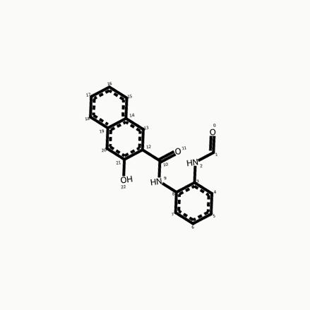 O=CNc1ccccc1NC(=O)c1cc2ccccc2cc1O